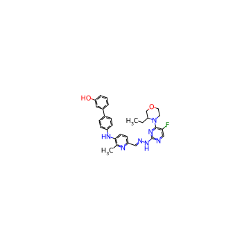 CCC1COCCN1c1nc(N/N=C/c2ccc(Nc3ccc(-c4cccc(O)c4)cc3)c(C)n2)ncc1F